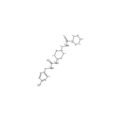 O=C(NCc1ccc(Cl)cc1)NC1CCC(CNC(=O)C2CCOCC2)CC1